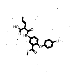 CC=CC(C(=O)O)C(=O)Nc1ccc(Oc2ccc(Cl)cc2)c(C(=O)OC)c1